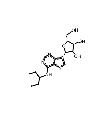 CCC(CC)Nc1ncnc2c1ncn2[C@@H]1O[C@H](CO)[C@@H](O)[C@H]1O